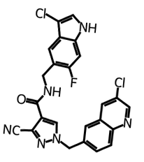 N#Cc1nn(Cc2ccc3ncc(Cl)cc3c2)cc1C(=O)NCc1cc2c(Cl)c[nH]c2cc1F